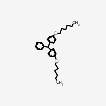 CCCCCCOc1ccc(C(c2ccccc2)c2ccc(OCCCCCC)cc2)cc1